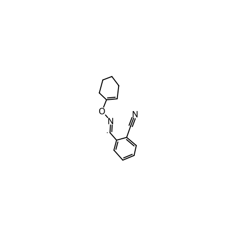 N#Cc1ccccc1[C]=NOC1=CCCCC1